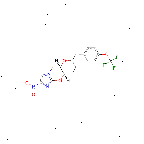 O=[N+]([O-])c1cn2c(n1)O[C@H]1CCC(Cc3ccc(OC(F)(F)F)cc3)O[C@H]1C2